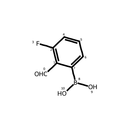 O=Cc1c(F)cccc1B(O)O